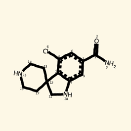 NC(=O)c1cc(Cl)c2c(c1)NCC21CCNCC1